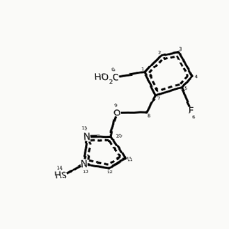 O=C(O)c1cccc(F)c1COc1ccn(S)n1